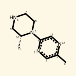 Cc1cnc(N2CCNC[C@H]2C)cn1